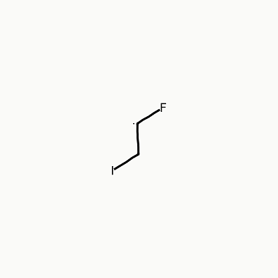 F[CH]CI